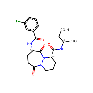 O=C[C@H](CC(=O)O)NC(=O)[C@@H]1CCCN2C(=O)CC[C@H](NC(=O)c3cccc(F)c3)C(=O)N12